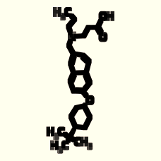 CCCN(CCC(=O)O)Cc1ccc2cc(O[C@H]3CC[C@H](C(C)(C)C)CC3)ccc2c1